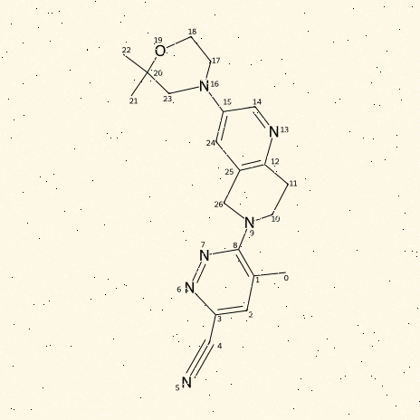 Cc1cc(C#N)nnc1N1CCc2ncc(N3CCOC(C)(C)C3)cc2C1